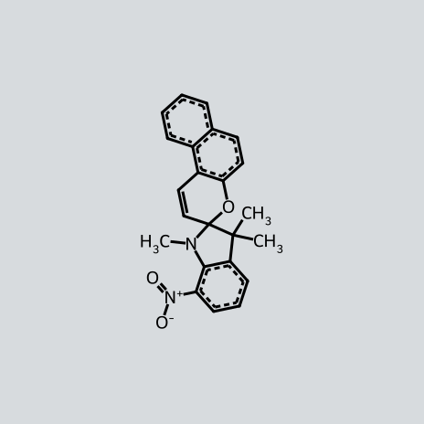 CN1c2c([N+](=O)[O-])cccc2C(C)(C)C12C=Cc1c(ccc3ccccc13)O2